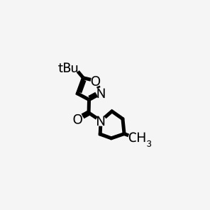 CC1CCN(C(=O)c2cc(C(C)(C)C)on2)CC1